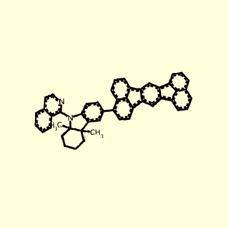 CC12CCCCC1(C)N(c1nccc3ccccc13)c1ccc(-c3ccc4c5cc6c(cc5c5cccc3c54)c3cccc4cccc6c43)cc12